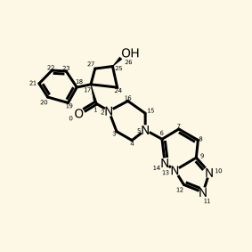 O=C(N1CCN(c2ccc3nncn3n2)CC1)[C@]1(c2ccccc2)C[C@H](O)C1